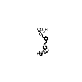 Cn1ccc(N2CCOC3(CCN(CCc4cccc(CCOCCC(=O)O)c4)CC3)C2)n1